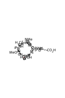 CNC(=O)C[C@@H]1NC(=O)c2csc(n2)-c2ccc(-c3nc(NC(=O)OCCCCCC(=O)O)cs3)nc2-c2csc(n2)-c2csc(n2)[C@H]([C@@H](O)c2ccccc2)NC(=O)CNC(=O)c2nc(sc2COC)[C@H](C(C)C)NC(=O)c2nc1sc2C